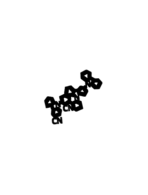 N#Cc1ccc2c(c1)c1ccccc1n2-c1cccc(-c2ccccc2-n2c3ccccc3c3cc(-n4c5ccccc5c5ccccc54)ccc32)c1C#N